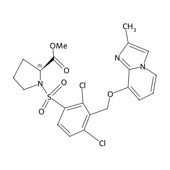 COC(=O)[C@@H]1CCCN1S(=O)(=O)c1ccc(Cl)c(COc2cccn3cc(C)nc23)c1Cl